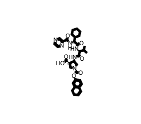 CC(C)[C@H](NC(=O)[C@@H](NC(=O)c1cnccn1)C1CCCCC1)C(=O)N[C@H]1CN(C(=O)Oc2ccc3c(c2)CCC=C3)C[C@H]1C(=O)O